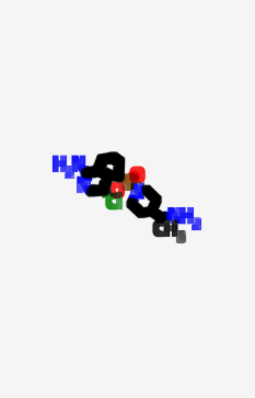 CC(N)C1CCN(S(=O)(=O)c2cccc3c(N)ncc(Cl)c23)CC1